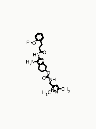 CCOc1ccccc1CCC(=O)Nc1sc2c(c1N)CCC(OC(=O)NCc1cc(C)nn1C)C2